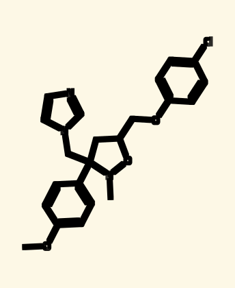 COc1ccc(C2(Cn3ccnc3)CC(COc3ccc(Cl)cc3)ON2C)cc1